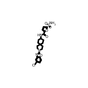 NS(=O)(=O)c1ccc(C(=O)NC2CCC3(CC2)CCN(c2nc4cc(Cl)ccc4o2)CC3)o1